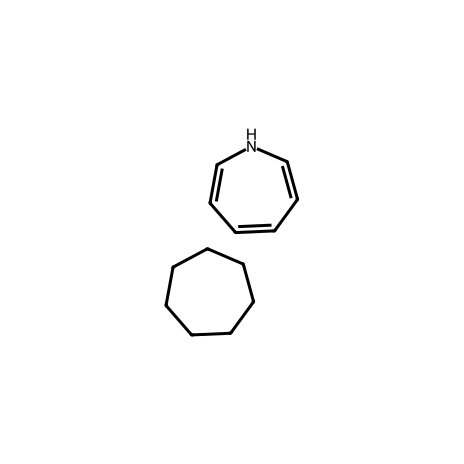 C1=CC=CNC=C1.C1CCCCCC1